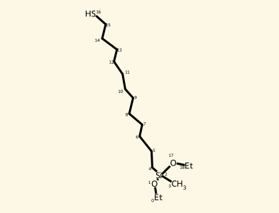 CCO[Si](C)(CCCCCCCCCCCCS)OCC